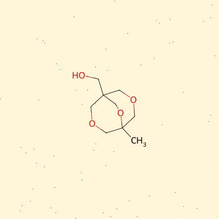 CC12COCC(CO)(COC1)CO2